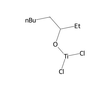 CCCCCC(CC)[O][Ti]([Cl])[Cl]